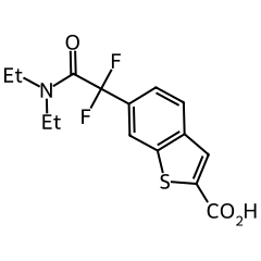 CCN(CC)C(=O)C(F)(F)c1ccc2cc(C(=O)O)sc2c1